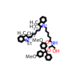 CCN1/C(=C/C=C/C=C/C2=[N+](CCCCCC(=O)NC(CO)COC(c3ccccc3)(c3ccc(OC)cc3)c3ccc(OC)cc3)c3ccccc3C2(C)C)C(C)(C)c2ccccc21